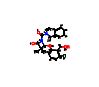 CCCN(C(=O)N1C(=O)C(CC)(CC)[C@@H]1Oc1cccc(Cl)c1CO)[C@H](C)c1ccccc1